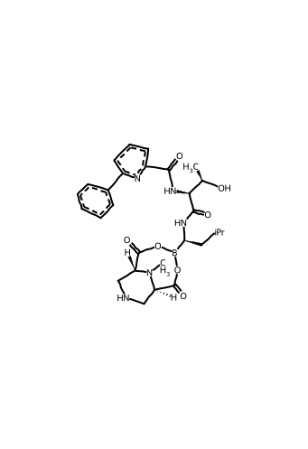 CC(C)C[C@H](NC(=O)[C@@H](NC(=O)c1cccc(-c2ccccc2)n1)[C@@H](C)O)B1OC(=O)[C@H]2CNC[C@H](C(=O)O1)N2C